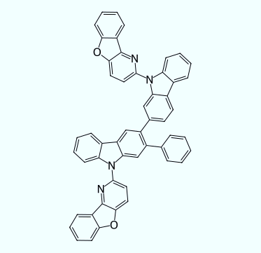 c1ccc(-c2cc3c(cc2-c2ccc4c5ccccc5n(-c5ccc6oc7ccccc7c6n5)c4c2)c2ccccc2n3-c2ccc3oc4ccccc4c3n2)cc1